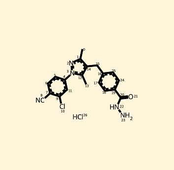 Cc1nn(-c2ccc(C#N)c(Cl)c2)c(C)c1Cc1ccc(C(=O)NN)cc1.Cl